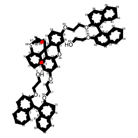 OCCOc1ccc2ccccc2c1-c1c(OCCOc2ccc3c(c2)Oc2cc(OCCOc4ccc5ccccc5c4-c4c(OCCO)ccc5ccccc45)ccc2C32c3ccccc3Sc3ccccc32)ccc2ccccc12